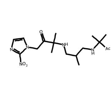 CC(=O)C(C)(C)NCC(C)CNC(C)(C)C(=O)Cn1ccnc1[N+](=O)[O-]